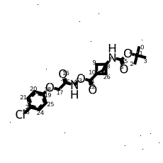 CC(C)(C)OC(=O)NC12CC(C(=O)ONC(=O)COc3ccc(Cl)cc3)(C1)C2